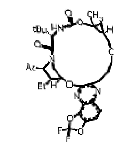 CCC1[C@@H]2CN(C(=O)[C@H](C(C)(C)C)NC(=O)O[C@]3(C)C[C@H]3CCCCCc3nc4ccc5c(c4nc3O2)OC(F)(F)O5)[C@@H]1C(C)=O